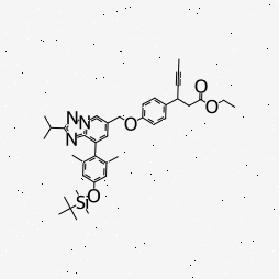 CC#CC(CC(=O)OCC)c1ccc(OCc2cc(-c3c(C)cc(O[Si](C)(C)C(C)(C)C)cc3C)c3nc(C(C)C)nn3c2)cc1